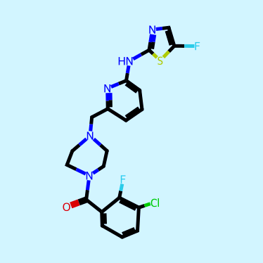 O=C(c1cccc(Cl)c1F)N1CCN(Cc2cccc(Nc3ncc(F)s3)n2)CC1